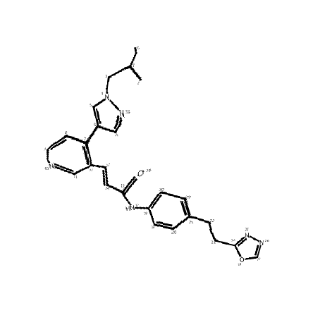 CC(C)Cn1cc(-c2ccncc2/C=C/C(=O)Nc2ccc(CCc3nnco3)cc2)cn1